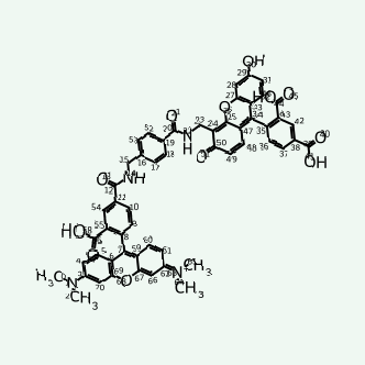 CN(C)c1ccc2c(-c3ccc(C(=O)NCc4ccc(C(=O)NCc5c6oc7cc(O)ccc7c(-c7ccc(C(=O)O)cc7C(=O)O)c-6ccc5=O)cc4)cc3C(=O)O)c3ccc(=[N+](C)C)cc-3oc2c1